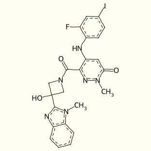 Cn1nc(C(=O)N2CC(O)(c3nc4ccccc4n3C)C2)c(Nc2ccc(I)cc2F)cc1=O